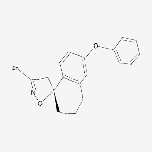 BrC1=NO[C@]2(CCCc3cc(Oc4ccccc4)ccc32)C1